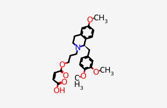 COc1ccc2c(c1)CCN(CCCOC(=O)/C=C\C(=O)O)[C@@H]2Cc1ccc(OC)c(OC)c1